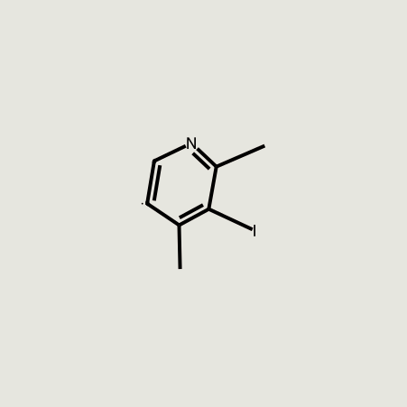 Cc1[c]cnc(C)c1I